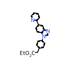 CCOC(=O)Cc1ccc(-n2cnc3cc(-c4ccccn4)ccc32)cc1